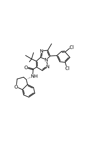 Cc1nc2c(C(C)(C)C)c(C(=O)N[C@H]3CCOc4ccccc43)cnn2c1-c1cc(Cl)cc(Cl)c1